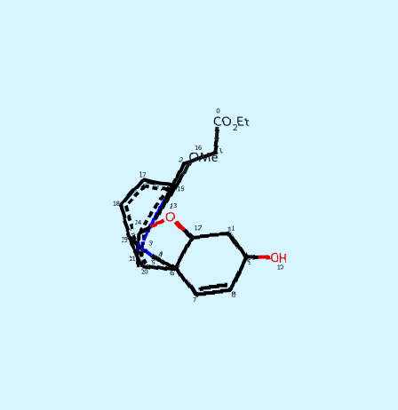 CCOC(=O)CCN1CCC23C=CC(O)CC2Oc2c(OC)ccc(c23)C1